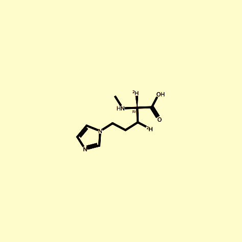 [2H]C(CCn1ccnc1)[C@]([2H])(NC)C(=O)O